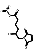 CCC(CCCC(=O)O[SH](=O)=O)CN1C(=O)C=CC1=O